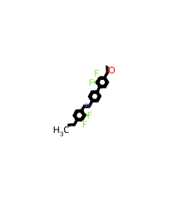 CCCc1ccc(/C=C/c2ccc(-c3ccc(C4CO4)c(F)c3F)cc2)c(F)c1F